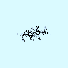 C=CCC1(C)CC(OC(=O)C(=C)C)CC(C)(C)N1SSN1C(C)(C)CC(OC(=O)C(=C)C)CC1(C)CC=C